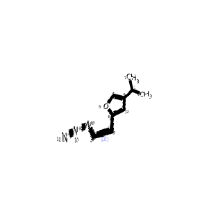 CC(C)c1coc(/C=C\N=[N+]=[N-])c1